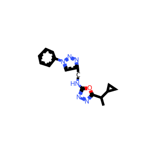 CC(c1nnc(NCc2cn(-c3ccccc3)nn2)o1)C1CC1